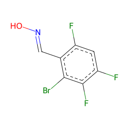 ON=Cc1c(F)cc(F)c(F)c1Br